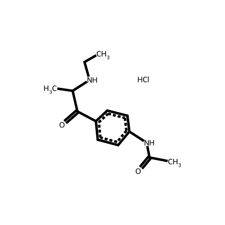 CCNC(C)C(=O)c1ccc(NC(C)=O)cc1.Cl